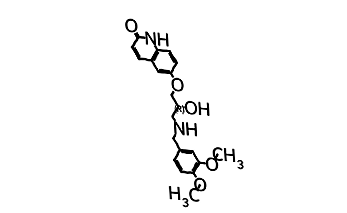 COc1ccc(CNC[C@@H](O)COc2ccc3[nH]c(=O)ccc3c2)cc1OC